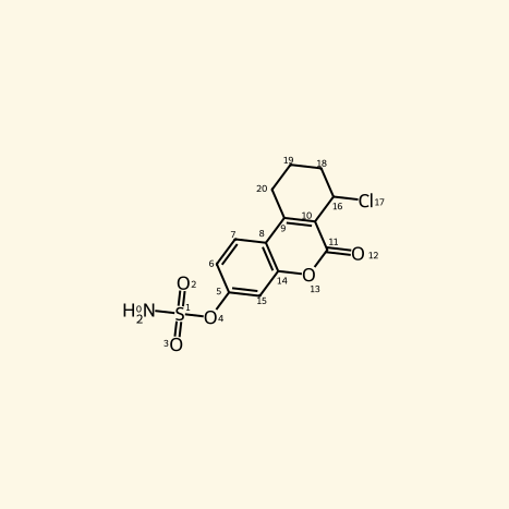 NS(=O)(=O)Oc1ccc2c3c(c(=O)oc2c1)C(Cl)CCC3